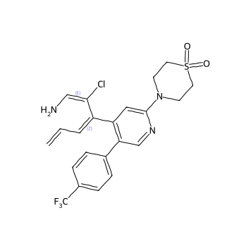 C=C/C=C(\C(Cl)=C/N)c1cc(N2CCS(=O)(=O)CC2)ncc1-c1ccc(C(F)(F)F)cc1